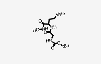 CSCCC(NC(=O)CNC(=O)OC(C)(C)C)C(=O)NO